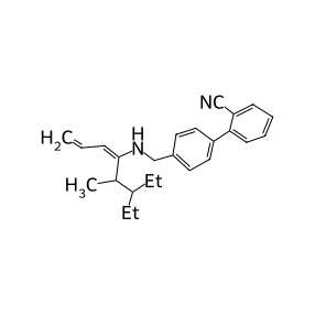 C=C/C=C(/NCc1ccc(-c2ccccc2C#N)cc1)C(C)C(CC)CC